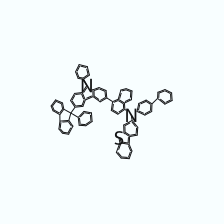 c1ccc(-c2ccc(N(c3ccc4c(c3)sc3ccccc34)c3ccc(-c4ccc5c(c4)c4cc(C6(c7ccccc7)c7ccccc7-c7ccccc76)ccc4n5-c4ccccc4)c4ccccc34)cc2)cc1